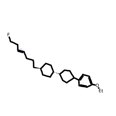 CCOc1ccc(C2CCC([C@H]3CC[C@H](CCC/C=C/CCF)CC3)CC2)cc1